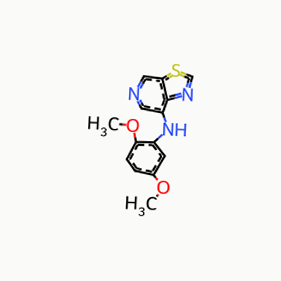 COc1ccc(OC)c(Nc2cncc3scnc23)c1